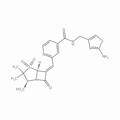 CC1(C)[C@H](C(=O)O)N2C(=O)/C(=C/c3cc(C(=O)NCc4csc(N)n4)ccn3)[C@H]2S1(=O)=O